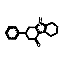 O=C1CC(c2ccccc2)Cc2[nH]c3c(c21)CCCC3